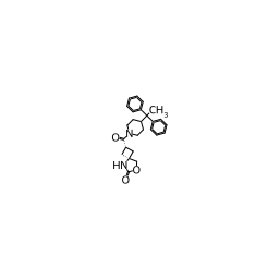 CC(c1ccccc1)(c1ccccc1)C1CCN(C(=O)[C@H]2C[C@@]3(COC(=O)N3)C2)CC1